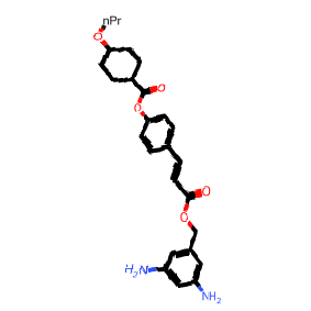 CCCOC1CCC(C(=O)Oc2ccc(/C=C/C(=O)OCc3cc(N)cc(N)c3)cc2)CC1